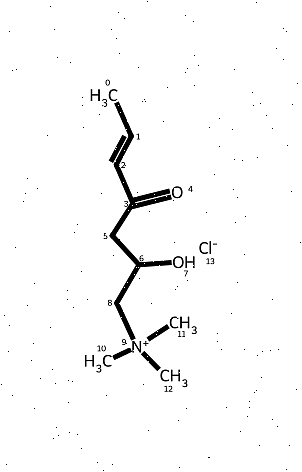 CC=CC(=O)CC(O)C[N+](C)(C)C.[Cl-]